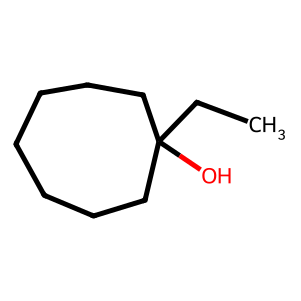 CCC1(O)CCCCCCC1